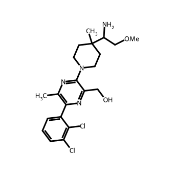 COCC(N)C1(C)CCN(c2nc(C)c(-c3cccc(Cl)c3Cl)nc2CO)CC1